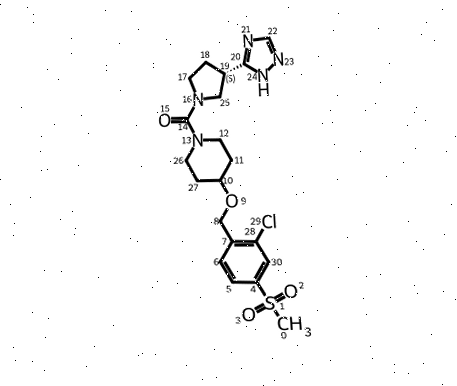 CS(=O)(=O)c1ccc(COC2CCN(C(=O)N3CC[C@H](c4ncn[nH]4)C3)CC2)c(Cl)c1